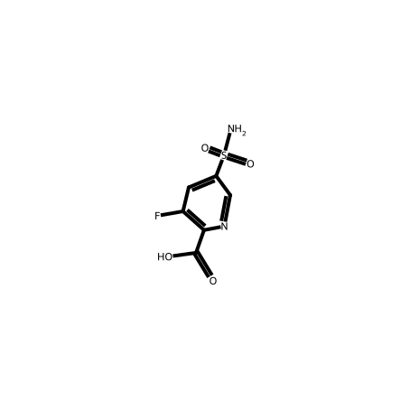 NS(=O)(=O)c1cnc(C(=O)O)c(F)c1